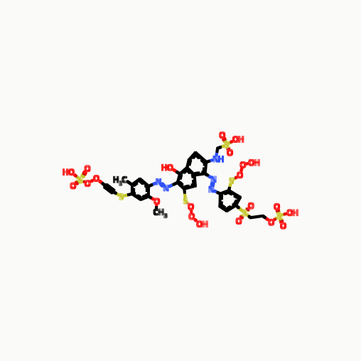 COc1cc(SC#COOS(=O)(=O)O)c(C)cc1N=Nc1c(SOOO)cc2c(N=Nc3ccc(S(=O)(=O)CCOS(=O)(=O)O)cc3SOOO)c(NCS(=O)(=O)O)ccc2c1O